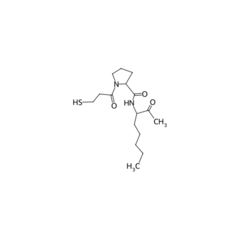 CCCCCC(NC(=O)C1CCCN1C(=O)CCS)C(C)=O